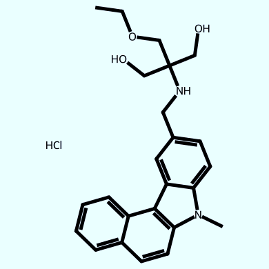 CCOCC(CO)(CO)NCc1ccc2c(c1)c1c3ccccc3ccc1n2C.Cl